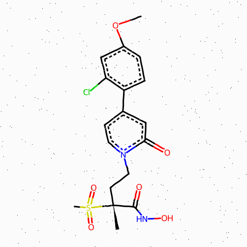 COc1ccc(-c2ccn(CC[C@](C)(C(=O)NO)S(C)(=O)=O)c(=O)c2)c(Cl)c1